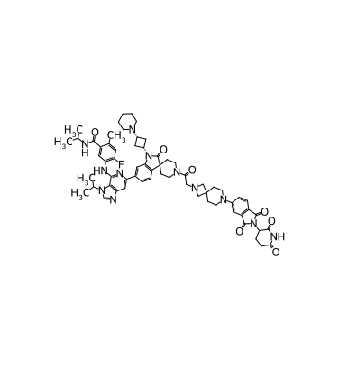 Cc1cc(F)c(Nc2nc(-c3ccc4c(c3)N([C@H]3C[C@@H](N5CCCCC5)C3)C(=O)C43CCN(C(=O)CN4CC5(CCN(c6ccc7c(c6)C(=O)N(C6CCC(=O)NC6=O)C7=O)CC5)C4)CC3)cc3ncn(C(C)C)c23)cc1C(=O)NC(C)C